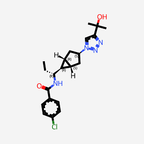 CC[C@@H](NC(=O)c1ccc(Cl)cc1)[C@H]1[C@@H]2C[C@@H](n3cc(C(C)(C)O)nn3)C[C@@H]21